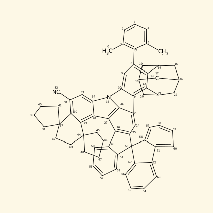 Cc1cccc(C)c1-c1cc2c(c3c1C1CC4CC(C1)CC3C4)c1cc3c(c4c5c6c(c(C#N)cc5n2c14)C1(CCCC1)CCC61CCCC1)-c1ccccc1C31c2ccccc2-c2ccccc21